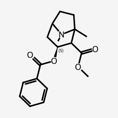 COC(=O)C1[C@@H](OC(=O)c2ccccc2)CC2CCC1(C)N2C